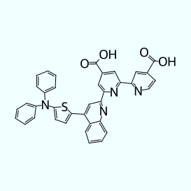 O=C(O)c1ccnc(-c2cc(C(=O)O)cc(-c3cc(-c4ccc(N(c5ccccc5)c5ccccc5)s4)c4ccccc4n3)n2)c1